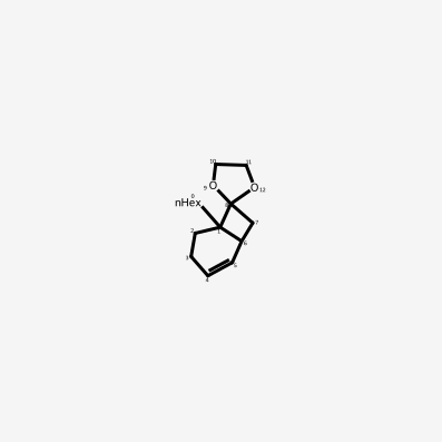 CCCCCCC12CCC=CC1CC21OCCO1